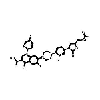 CC(=O)NCC1CN(c2ccc(N3CCN(c4cc5c(cc4F)c(=O)c(C(=O)O)cn5-c4ccc(F)cn4)CC3)c(F)c2)C(=O)O1